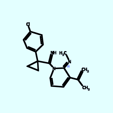 C=C(C)c1cccn(C(=N)C2(c3ccc(Cl)cc3)CC2)/c1=N\C